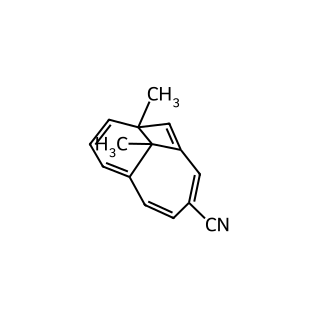 CC12C=CC=C3C=CC(C#N)=CC(=C1)C32C